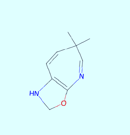 CC1(C)C=CC2=C(N=C1)OCN2